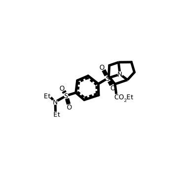 CCOC(=O)C1CCC2CCC1N2S(=O)(=O)c1ccc(S(=O)(=O)N(CC)CC)cc1